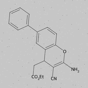 CCOC(=O)CC1C(C#N)=C(N)Oc2ccc(-c3ccccc3)cc21